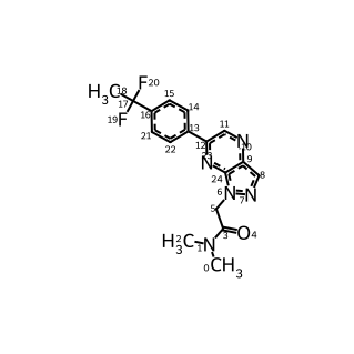 CN(C)C(=O)Cn1ncc2ncc(-c3ccc(C(C)(F)F)cc3)nc21